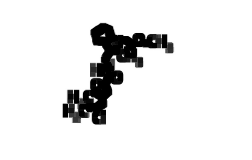 C=C/C(Cl)=C\c1cc(C(=O)N/N=C/c2c(C)n(CC(=O)OCC)c3ccccc23)oc1C